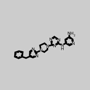 Nc1cncc(Nc2ncnc(N3CCN(c4ncc(Cc5ccccc5)cn4)CC3)n2)c1